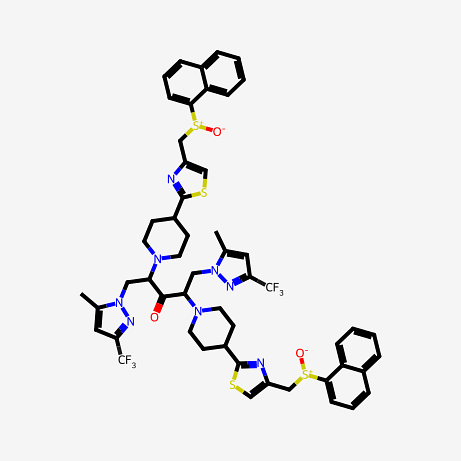 Cc1cc(C(F)(F)F)nn1CC(C(=O)C(Cn1nc(C(F)(F)F)cc1C)N1CCC(c2nc(C[S+]([O-])c3cccc4ccccc34)cs2)CC1)N1CCC(c2nc(C[S+]([O-])c3cccc4ccccc34)cs2)CC1